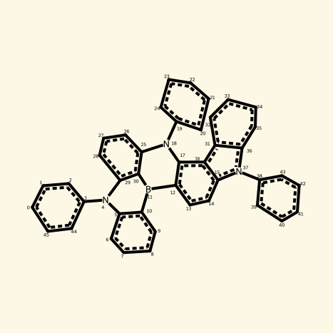 c1ccc(N2c3ccccc3B3c4ccc5c(c4N(c4ccccc4)c4cccc2c43)c2ccccc2n5-c2ccccc2)cc1